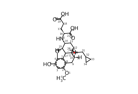 COc1cc(O)c2c3c1C[C@@H]1[C@@H]4CC[C@H](N[C@@H](CCC(=O)O)C(=O)O)[C@H](O2)[C@]34CCN1CC1CC1